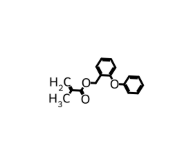 C=C(C)C(=O)OCc1ccccc1Oc1ccccc1